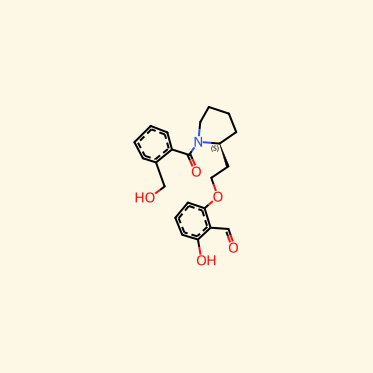 O=Cc1c(O)cccc1OCC[C@@H]1CCCCN1C(=O)c1ccccc1CO